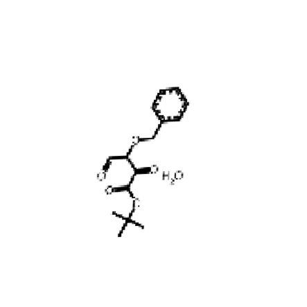 CC(C)(C)OC(=O)C(=O)C(C=O)OCc1ccccc1.O